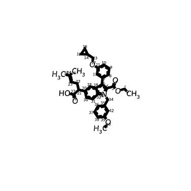 CCOC(=O)c1c(-c2cccc(OCC3CC3)c2)c2cc(C(CC=C(C)C)C(=O)O)ccc2n1Cc1cccc(OC)c1